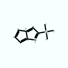 C[Si](C)(C)C1=NC2=CC=CC2=C1